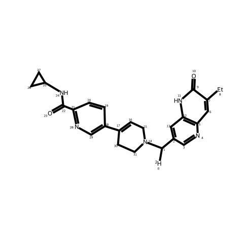 [2H]C(c1cnc2cc(CC)c(=O)[nH]c2c1)N1CC=C(c2ccc(C(=O)NC3CC3)nc2)CC1